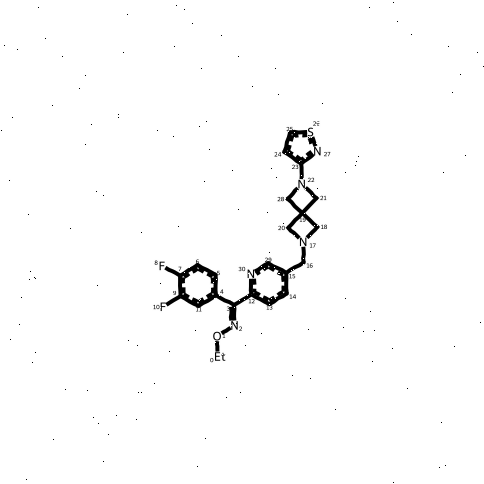 CCON=C(c1ccc(F)c(F)c1)c1ccc(CN2CC3(C2)CN(c2ccsn2)C3)cn1